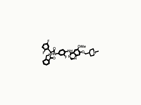 COc1cc2c(Nc3ccc(NC(=O)C(c4cc(F)ccc4F)N4Cc5ccccc5C4=O)cc3F)ncnc2cc1OCC1CCN(C)CC1